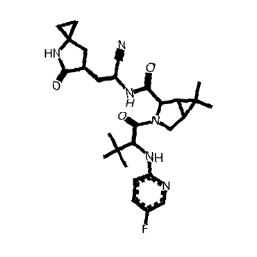 CC(C)(C)C(Nc1ccc(F)cn1)C(=O)N1CC2C(C1C(=O)NC(C#N)CC1CC3(CC3)NC1=O)C2(C)C